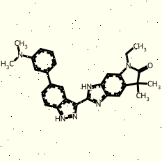 CCN1C(=O)C(C)(C)c2cc3nc(-c4n[nH]c5ccc(-c6cccc(N(C)C)c6)cc45)[nH]c3cc21